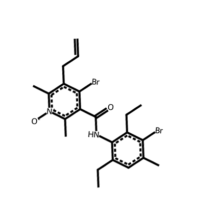 C=CCc1c(Br)c(C(=O)Nc2c(CC)cc(C)c(Br)c2CC)c(C)[n+]([O-])c1C